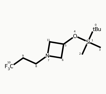 CC(C)(C)[Si](C)(C)OC1CN(CCC(F)(F)F)C1